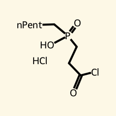 CCCCCCP(=O)(O)CCC(=O)Cl.Cl